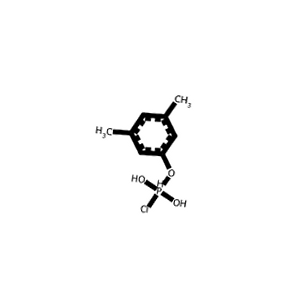 Cc1cc(C)cc(O[PH](O)(O)Cl)c1